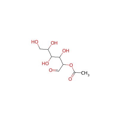 CC(=O)OC(C=O)C(O)C(O)C(O)CO